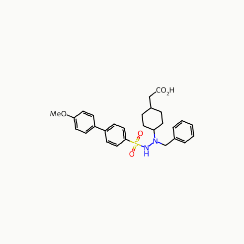 COc1ccc(-c2ccc(S(=O)(=O)NN(Cc3ccccc3)C3CCC(CC(=O)O)CC3)cc2)cc1